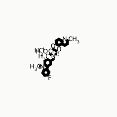 Cc1ccc2c3c(ccc2n1)OC[C@H](CN(CC1CCc2c(c4cc(F)ccc4n2C)C1)C(C)C)O3.Cl.O